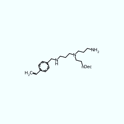 C=Cc1ccc(CNCCCN(CCCN)CCCCCCCCCCCC)cc1